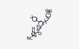 C\C(=C/C(=C\C=C\NC(=O)c1nc(C#N)c[nH]1)C(C)(C)CN1CCS(=O)(=O)CC1)C1=CCC(C)(C)CC1